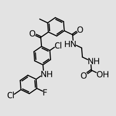 Cc1ccc(C(=O)NCCNC(=O)O)cc1C(=O)c1ccc(Nc2ccc(Cl)cc2F)cc1Cl